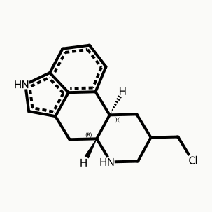 ClCC1CN[C@@H]2Cc3c[nH]c4cccc(c34)[C@H]2C1